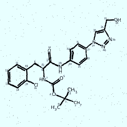 CC(C)(C)OC(=O)N[C@@H](Cc1ccccc1Cl)C(=O)Nc1ccc(-n2cc(CO)nn2)cc1